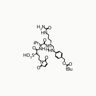 CC(C)[C@H](NC(=O)[C@@H](CCN1C(=O)C=CC1=O)S(=O)(=O)O)C(=O)N[C@@H](CCCNC(N)=O)CNc1ccc(COC(=O)C(C)(C)C)cc1